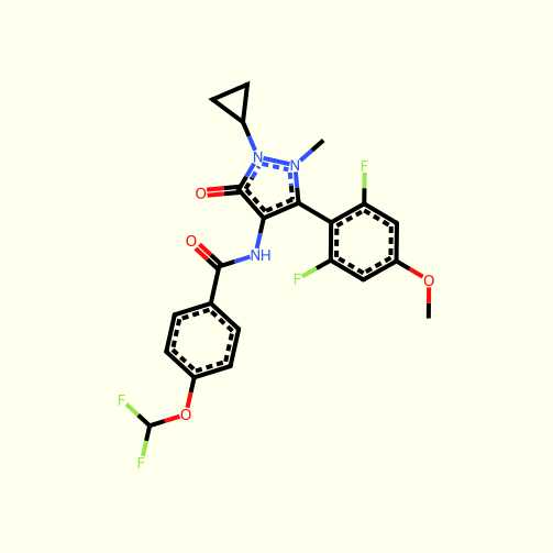 COc1cc(F)c(-c2c(NC(=O)c3ccc(OC(F)F)cc3)c(=O)n(C3CC3)n2C)c(F)c1